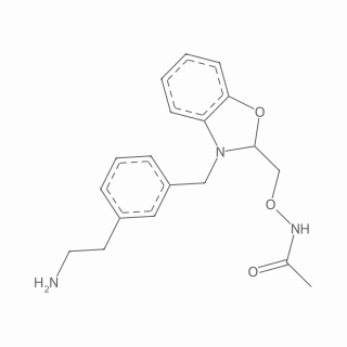 CC(=O)NOCC1Oc2ccccc2N1Cc1cccc(CCN)c1